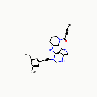 CC#CC(=O)N1CCC[C@H](NC2=C3C=NC=C3NCN2C#Cc2cc(OC)cc(OC)c2)C1